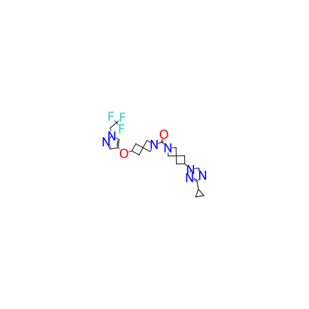 O=C(N1CC2(CC(Oc3cnn(CC(F)(F)F)c3)C2)C1)N1CC2(CC(n3cnc(C4CC4)n3)C2)C1